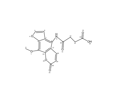 COc1c2occc2c(NC(=O)CCC(=O)O)c2ccc(=O)oc12